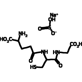 NC(CCC(=O)NC(CS)C(=O)NCC(=O)O)C(=O)O.O=S([O-])O.[Na+]